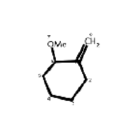 C=C1CCCCC1OC